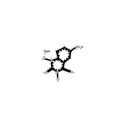 O=c1c2cc(S(=O)(=O)O)ccc2n(Cl)c(=O)n1Cl.[NaH]